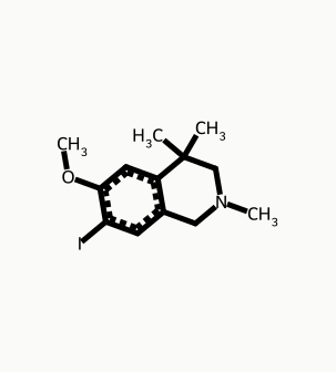 COc1cc2c(cc1I)CN(C)CC2(C)C